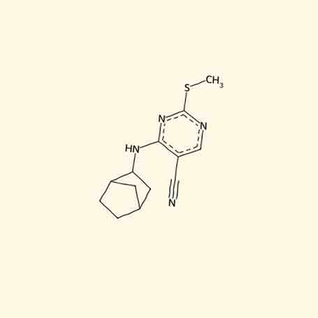 CSc1ncc(C#N)c(NC2CC3CCC2C3)n1